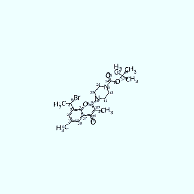 Cc1cc(C(C)Br)c2oc(N3CCN(C(=O)OC(C)(C)C)CC3)c(C)c(=O)c2c1